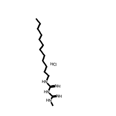 CCCCCCCCCCCCNC(=N)NC(=N)NC.Cl